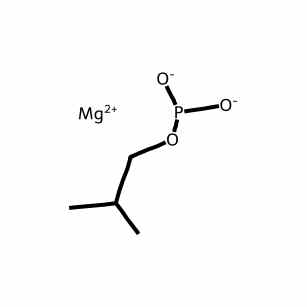 CC(C)COP([O-])[O-].[Mg+2]